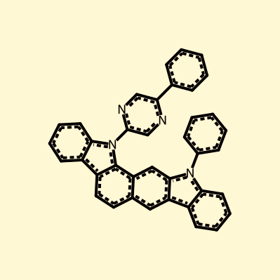 c1ccc(-c2cnc(-n3c4ccccc4c4ccc5cc6c7ccccc7n(-c7ccccc7)c6cc5c43)cn2)cc1